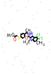 COC(=O)CSc1ccc([C@@H](C)NC(=O)c2cc3c(Cl)c(Cl)c(C)cc3n2C)cc1